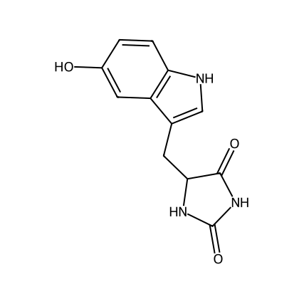 O=C1NC(=O)C(Cc2c[nH]c3ccc(O)cc23)N1